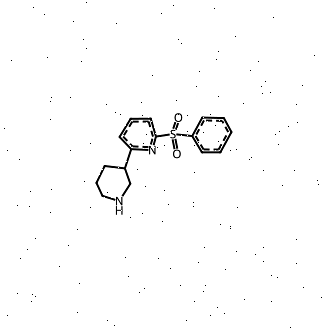 O=S(=O)(c1ccccc1)c1cccc(C2CCCNC2)n1